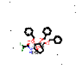 O=C(N[C@@H]1[C@@H](OCc2ccccc2)[C@@H](OCc2ccccc2)[C@]2(COCc3ccccc3)CC[C@H]1O2)C(F)F